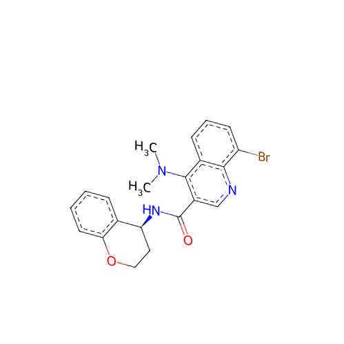 CN(C)c1c(C(=O)N[C@H]2CCOc3ccccc32)cnc2c(Br)cccc12